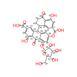 O=C(O)c1cc(O)c2c(c1)C(C1c3cc(C(=O)O)cc(O)c3C(=O)c3c(O[C@@H]4OC(CO)[C@@H](O)[C@H](O)C4O)cccc31)CCC2=O